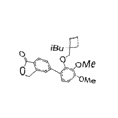 CC[C@@H](C)C1(COc2c(-c3ccc4c(c3)COC4=O)ccc(OC)c2OC)CCC1